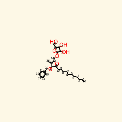 C=CCCCCCCCCCC1OC(COC2OC(CO)C(O)C2O)C(C)C1OCc1ccccc1